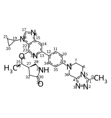 Cc1nnc2n1CCN(c1ccc(-c3cc4ncn(C5CC5)c4c(O[C@H](C)[C@H]4CNC(=O)C4)n3)cc1)C2